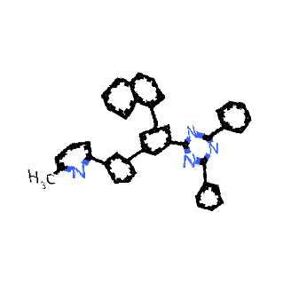 Cc1cccc(-c2cccc(-c3cc(-c4nc(-c5ccccc5)nc(-c5ccccc5)n4)cc(-c4cccc5ccccc45)c3)c2)n1